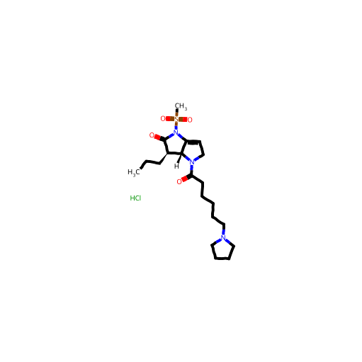 CCC[C@H]1C(=O)N(S(C)(=O)=O)C2=CCN(C(=O)CCCCCN3CCCC3)[C@@H]21.Cl